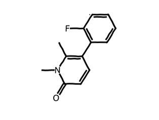 Cc1c(-c2ccc[c]c2F)ccc(=O)n1C